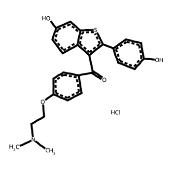 CN(C)CCOc1ccc(C(=O)c2c(-c3ccc(O)cc3)sc3cc(O)ccc23)cc1.Cl